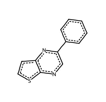 c1ccc(-c2cnc3sccc3n2)cc1